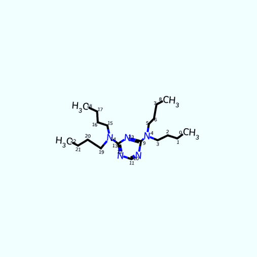 CCCCN(CCCC)c1ncnc(N(CCCC)CCCC)n1